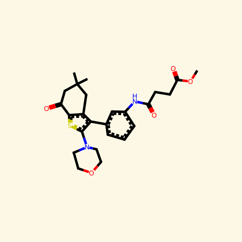 COC(=O)CCC(=O)Nc1cccc(-c2c(N3CCOCC3)sc3c2CC(C)(C)CC3=O)c1